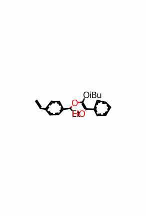 C=Cc1ccc(C(CC)OC(OCC(C)C)=C(O)c2ccccc2)cc1